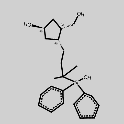 CC(C)(CC[C@@H]1C[C@@H](O)C[C@@H]1CO)[Si](O)(c1ccccc1)c1ccccc1